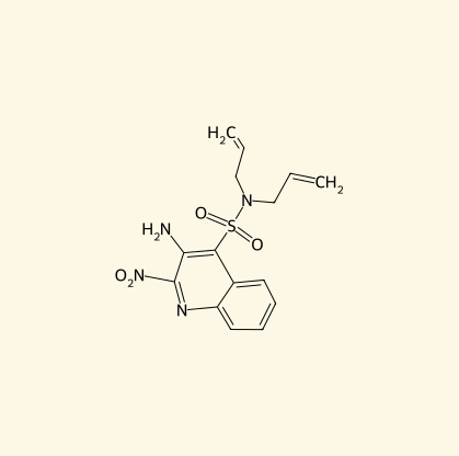 C=CCN(CC=C)S(=O)(=O)c1c(N)c([N+](=O)[O-])nc2ccccc12